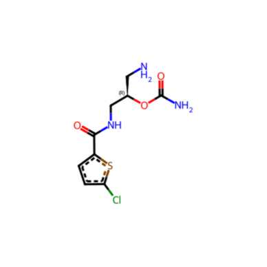 NC[C@H](CNC(=O)c1ccc(Cl)s1)OC(N)=O